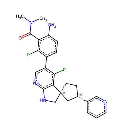 CN(C)C(=O)c1c(N)ccc(-c2cnc3c(c2Cl)[C@]2(CC[C@H](c4cccnc4)C2)CN3)c1F